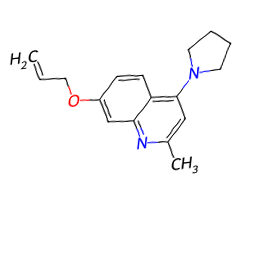 C=CCOc1ccc2c(N3CCCC3)cc(C)nc2c1